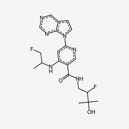 CC(CF)Nc1cc(-n2ccc3cncnc32)ncc1C(=O)NCC(F)C(C)(C)O